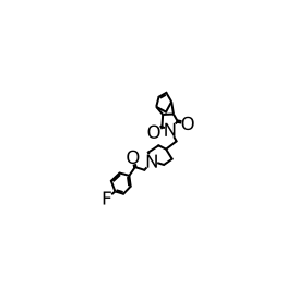 O=C(CN1CCC(CN2C(=O)C3C4C=CC(C4)C3C2=O)CC1)c1ccc(F)cc1